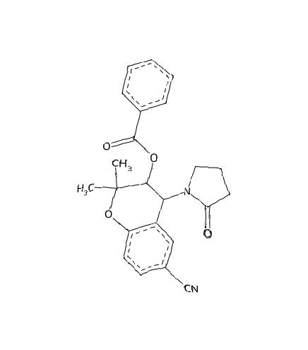 CC1(C)Oc2ccc(C#N)cc2C(N2CCCC2=O)C1OC(=O)c1ccccc1